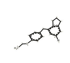 CCOc1ccc(Cc2cc(Br)cc3c2CCC3)cc1